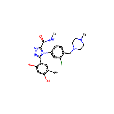 CCNC(=O)c1nnc(-c2cc(C(C)C)c(O)cc2O)n1-c1ccc(CN2CCN(CC)CC2)c(F)c1